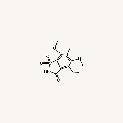 CCc1c(OC)c(C)c(OC)c2c1C(=O)NS2(=O)=O